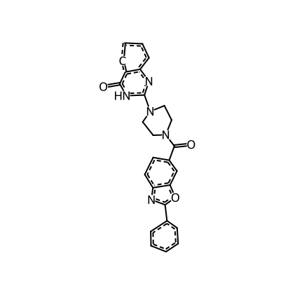 O=C(c1ccc2nc(-c3ccccc3)oc2c1)N1CCN(c2nc3ccccc3c(=O)[nH]2)CC1